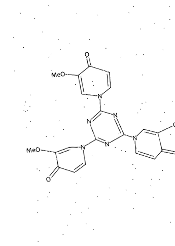 COc1cn(-c2nc(-n3ccc(=O)c(OC)c3)nc(-n3ccc(=O)c(OC)c3)n2)ccc1=O